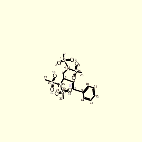 CS(=O)(=O)N(CC(/C=C/c1ccccc1)N(S(C)(=O)=O)S(C)(=O)=O)S(C)(=O)=O